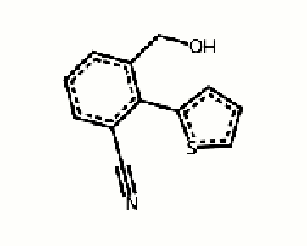 N#Cc1cccc(CO)c1-c1cccs1